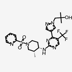 C[C@@H]1CN(S(=O)(=O)c2ccccn2)CC[C@@H]1Nc1ncc(C(F)(F)F)c(-c2cnn(CC(C)(C)O)c2)n1